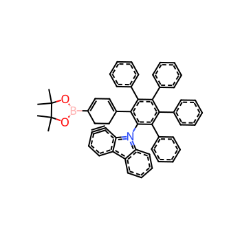 CC1(C)OB(C2=CC=C(c3c(-c4ccccc4)c(-c4ccccc4)c(-c4ccccc4)c(-c4ccccc4)c3-n3c4c#cccc4c4ccccc43)CC2)OC1(C)C